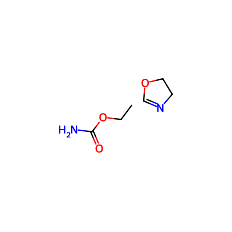 C1=NCCO1.CCOC(N)=O